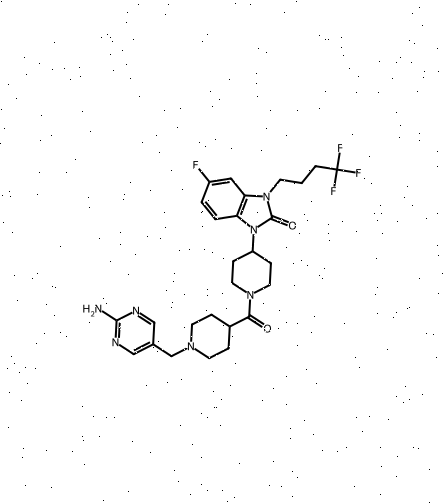 Nc1ncc(CN2CCC(C(=O)N3CCC(n4c(=O)n(CCCC(F)(F)F)c5cc(F)ccc54)CC3)CC2)cn1